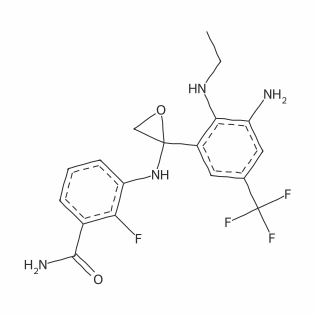 CCNc1c(N)cc(C(F)(F)F)cc1C1(Nc2cccc(C(N)=O)c2F)CO1